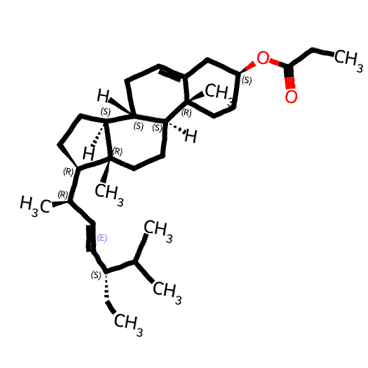 CCC(=O)O[C@H]1CC[C@@]2(C)C(=CC[C@H]3[C@@H]4CC[C@H]([C@H](C)/C=C/[C@@H](CC)C(C)C)[C@@]4(C)CC[C@@H]32)C1